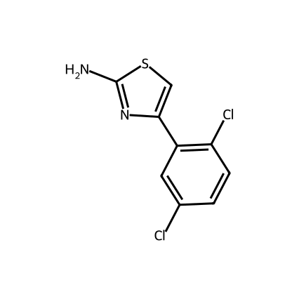 Nc1nc(-c2cc(Cl)ccc2Cl)cs1